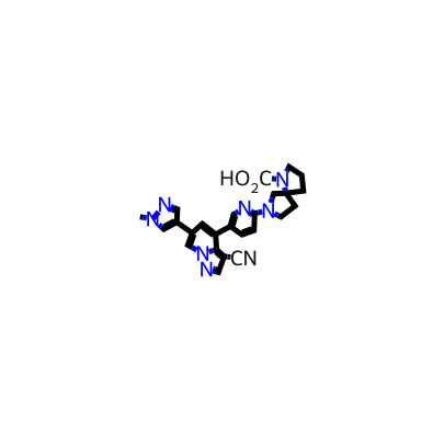 Cn1cc(-c2cc(-c3ccc(N4CCC5(CCCN5C(=O)O)C4)nc3)c3c(C#N)cnn3c2)cn1